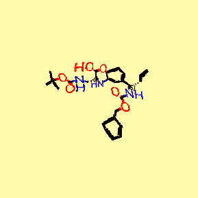 C=CC[C@H](NC(=O)OCc1ccccc1)c1cccc(N[C@H](CNC(=O)OC(C)(C)C)C(=O)O)c1